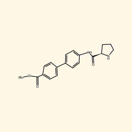 CC(C)(C)OC(=O)c1ccc(-c2ccc(NC(=O)[C@H]3CCCN3)cc2)cc1